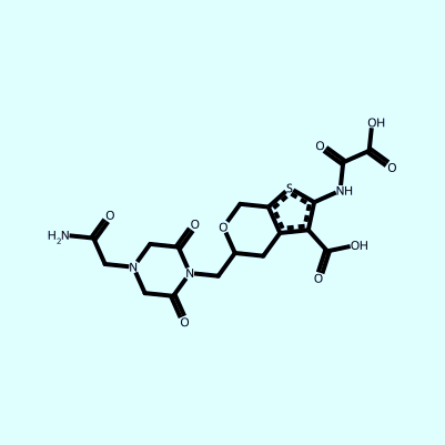 NC(=O)CN1CC(=O)N(CC2Cc3c(sc(NC(=O)C(=O)O)c3C(=O)O)CO2)C(=O)C1